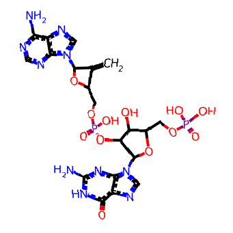 C=C1C(COP(=O)(O)OC2C(O)C(COP(=O)(O)O)OC2n2cnc3c(=O)[nH]c(N)nc32)OC1n1cnc2c(N)ncnc21